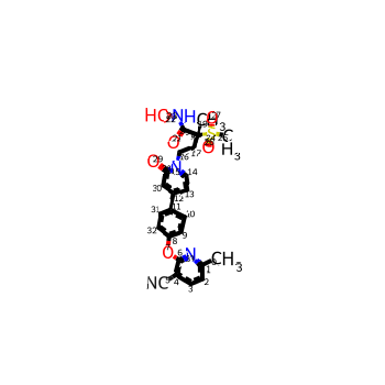 Cc1ccc(C#N)c(Oc2ccc(-c3ccn(CC[C@](C)(C(=O)NO)S(C)(=O)=O)c(=O)c3)cc2)n1